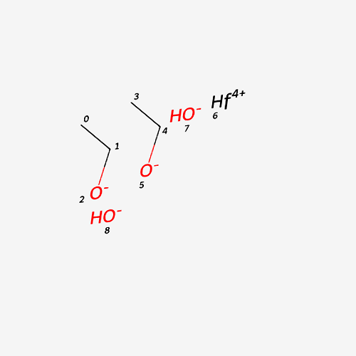 CC[O-].CC[O-].[Hf+4].[OH-].[OH-]